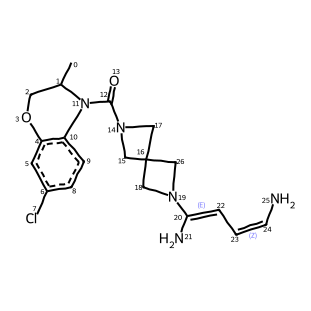 CC1COc2cc(Cl)ccc2N1C(=O)N1CC2(C1)CN(/C(N)=C/C=C\N)C2